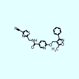 Cc1onc(-c2ccccc2)c1COc1ccc(C(=O)NCc2nc(C#N)cs2)cn1